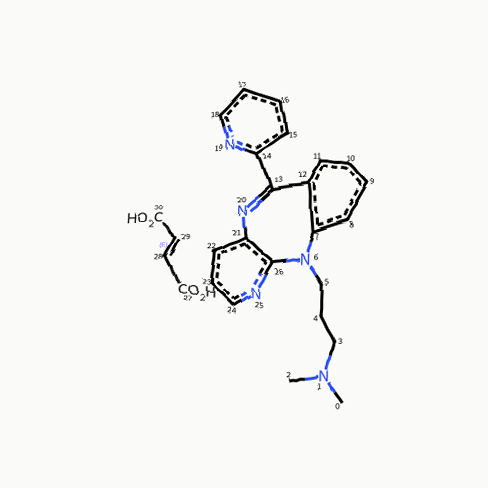 CN(C)CCCN1c2ccccc2C(c2ccccn2)=Nc2cccnc21.O=C(O)/C=C/C(=O)O